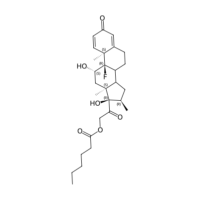 CCCCCC(=O)OCC(=O)[C@@]1(O)[C@H](C)CC2C3CCC4=CC(=O)C=C[C@]4(C)[C@@]3(F)[C@@H](O)C[C@@]21C